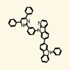 c1ccc(-c2cc(-c3ccccc3)nc(-c3cccc(-n4c5cc(-c6ccc7c8ccccc8n(-c8ccccc8)c7c6)ccc5c5cccnc54)c3)n2)cc1